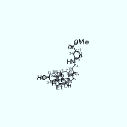 CC[C@H]1[C@@H](O)[C@@H]2[C@H](CC[C@]3(C)[C@@H]([C@H](C)CCNc4cncc(C(=O)OC)c4)CC[C@@H]23)[C@@]2(C)CC[C@@H](O)C[C@@H]12